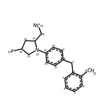 Cc1ccccc1Cc1ccc(N2CC(F)CC2CC#N)cc1